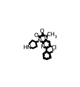 Cn1c(=O)c(=O)n(C2CCNCC2)c2nc(-c3ccccc3F)c(Cl)cc21